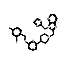 Fc1cc(Cl)ccc1COc1cccc(C2CCN(Cc3nc4cccnc4n3Cc3ncco3)CC2)n1